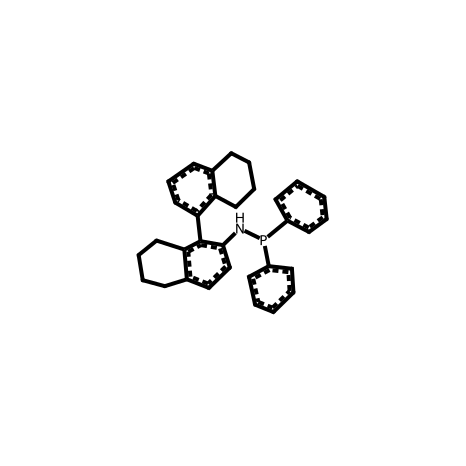 c1ccc(P(Nc2ccc3c(c2-c2cccc4c2CCCC4)CCCC3)c2ccccc2)cc1